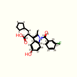 Cc1c([C@H](CC2CCCC2)C(=O)O)c2cc(O)ccc2n1C(=O)c1cccc(F)c1